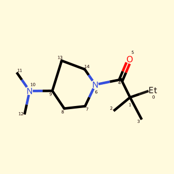 CCC(C)(C)C(=O)N1CCC(N(C)C)CC1